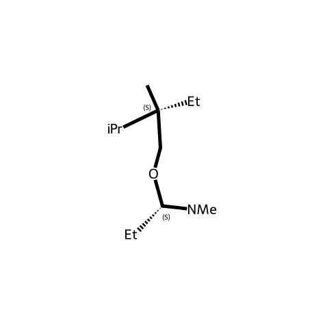 CC[C@@H](NC)OC[C@@](C)(CC)C(C)C